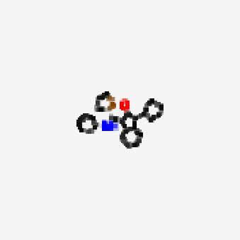 O=C1C(=C(Nc2ccccc2)c2cccs2)c2ccccc2C1c1ccccc1